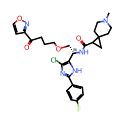 CN1CCC2(CC1)CC2C(=O)N[C@@H](COCCCC(=O)c1ccon1)c1[nH]c(-c2ccc(F)cc2)nc1Cl